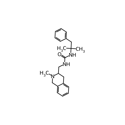 CN1Cc2ccccc2CC1CNC(=O)NC(C)(C)Cc1ccccc1